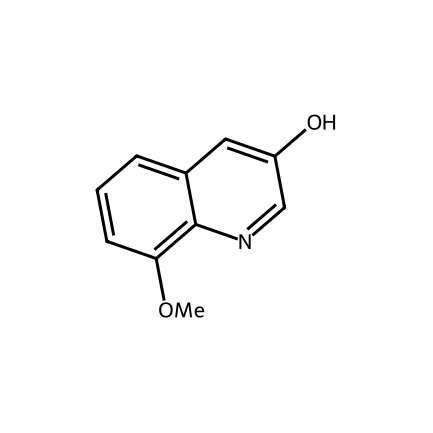 COc1cccc2cc(O)cnc12